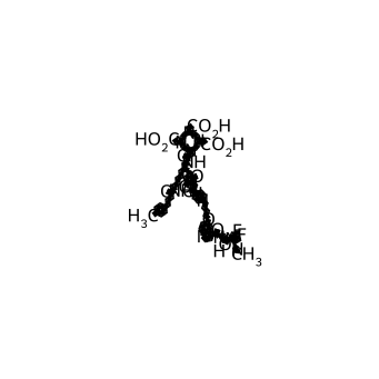 C/N=C/[C@H]1CC(F)(F)CN1C(=O)CNC(=O)c1ccnc2ccc(OCCCCN3CCN(C(=O)CN4C(=O)CC(SC(CCCCCNC(=O)CCCc5ccc(C)cc5)CNC(=O)CN5CCN(CC(=O)O)CCN(CC(=O)O)CCN(CC(=O)O)CC5)C4=O)CC3)cc12